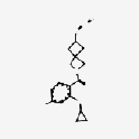 [N-]=[N+]=NC1CC2(C1)CN(C(=O)c1ccc(F)cc1OC1CC1)C2